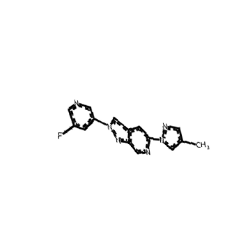 Cc1cnn(-c2cc3cn(-c4cncc(F)c4)nc3cn2)c1